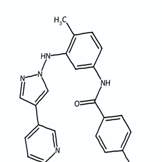 Cc1ccc(NC(=O)c2ccc(F)cc2)cc1Nn1cc(-c2cccnc2)cn1